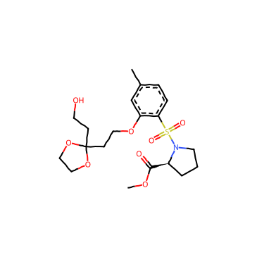 COC(=O)[C@@H]1CCCN1S(=O)(=O)c1ccc(C)cc1OCCC1(CCO)OCCO1